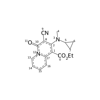 CCOC(=O)c1c(N(C)C2CC2)c(C#N)c(=O)n2ccccc12